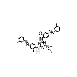 CCCNc1nc(Nc2ccc(N=Nc3cccc(C)c3)cc2C)nc(Nc2ccc(N=Nc3cccc(C)c3)cc2OC)n1